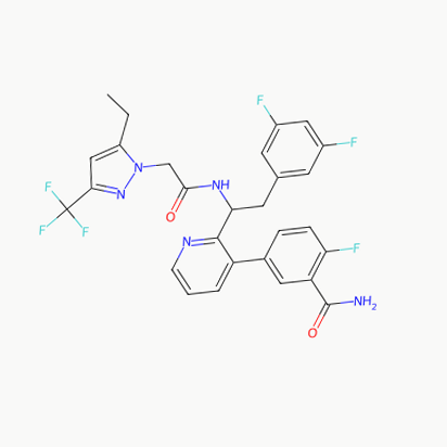 CCc1cc(C(F)(F)F)nn1CC(=O)NC(Cc1cc(F)cc(F)c1)c1ncccc1-c1ccc(F)c(C(N)=O)c1